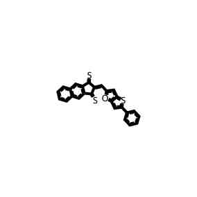 S=C1C(=Cc2cc3sc(-c4ccccc4)cc3o2)C(=S)c2cc3ccccc3cc21